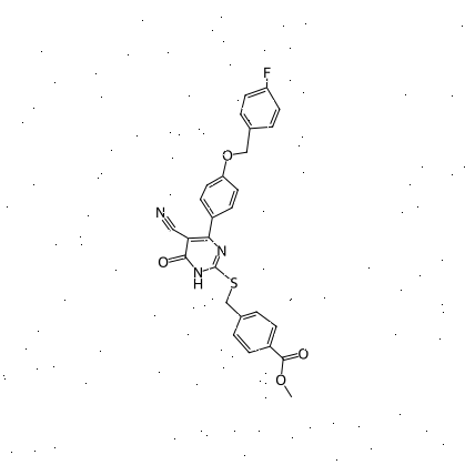 COC(=O)c1ccc(CSc2nc(-c3ccc(OCc4ccc(F)cc4)cc3)c(C#N)c(=O)[nH]2)cc1